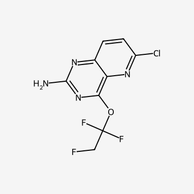 Nc1nc(OC(F)(F)CF)c2nc(Cl)ccc2n1